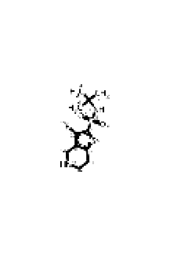 CC(C)(C)NS(=O)(=O)c1sc2c(c1F)CNCC2